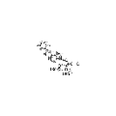 CC(C)(C)[Si](C)(C)O[C@@H]1[C@H](O[Si](C)(C)C(C)(C)C)[C@@H](C=O)O[C@H]1n1cnc2c(NC(=O)c3ccccc3)ncnc21